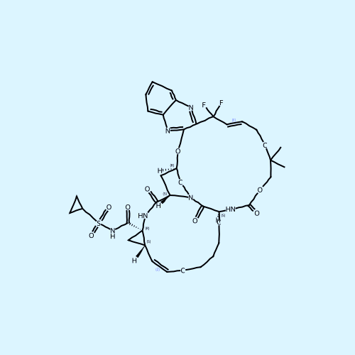 CC1(C)CC/C=C/C(F)(F)c2nc3ccccc3nc2O[C@@H]2C[C@H]3C(=O)N[C@]4(C(=O)NS(=O)(=O)C5CC5)C[C@H]4/C=C\CCCCC[C@H](NC(=O)OC1)C(=O)N3C2